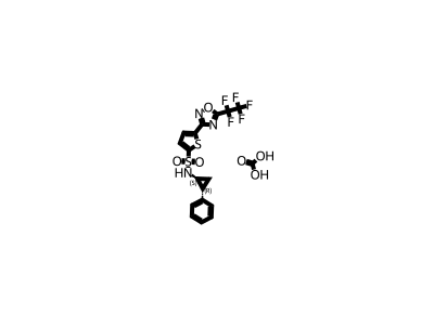 O=C(O)O.O=S(=O)(N[C@H]1C[C@@H]1c1ccccc1)c1ccc(-c2noc(C(F)(F)C(F)(F)F)n2)s1